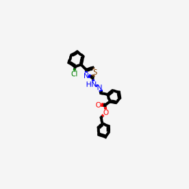 O=C(OCc1ccccc1)c1ccccc1/C=N/Nc1nc(-c2ccccc2Cl)cs1